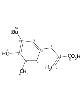 C=C(Cc1cc(C)c(O)c(C(C)(C)C)c1)C(=O)O